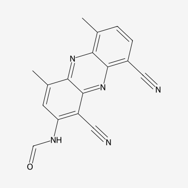 Cc1ccc(C#N)c2nc3c(C#N)c(NC=O)cc(C)c3nc12